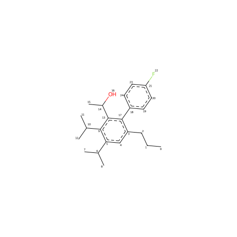 CCCc1cc(C(C)C)c(C(C)C)c(C(C)O)c1-c1ccc(F)cc1